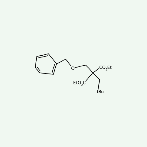 CCOC(=O)C(COCc1ccccc1)(CC(C)(C)C)C(=O)OCC